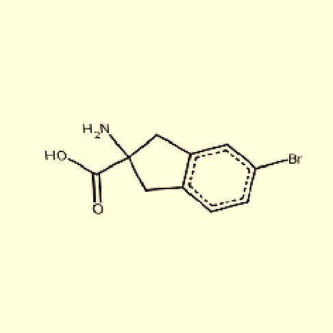 NC1(C(=O)O)Cc2ccc(Br)cc2C1